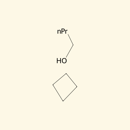 C1CCC1.CCCCO